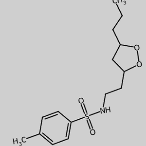 CCCC1CC(CCNS(=O)(=O)c2ccc(C)cc2)OO1